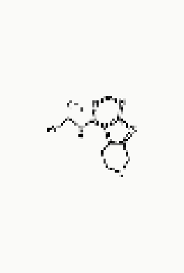 CC(C)C(C)Nc1ncnc2sc3c(c12)CCSC3